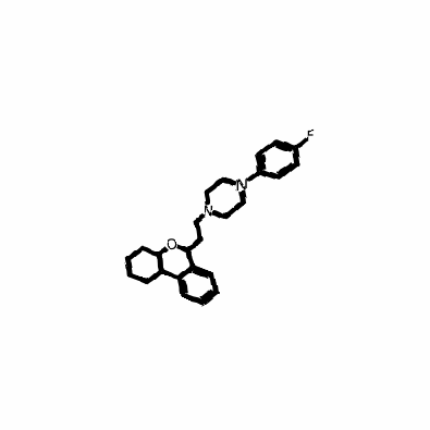 Fc1ccc(N2CCN(CCC3OC4CCCCC4c4ccccc43)CC2)cc1